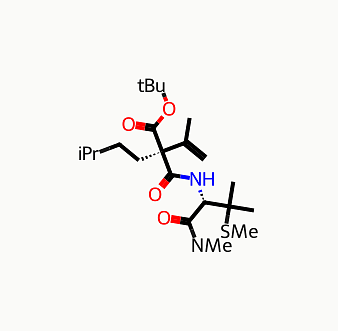 C=C(C)[C@@](CCC(C)C)(C(=O)N[C@@H](C(=O)NC)C(C)(C)SC)C(=O)OC(C)(C)C